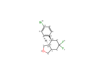 FC1(F)CC2COC[C@H]2[C@@H](c2ccc(Br)cc2)C1